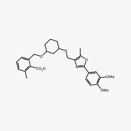 COc1ccc(-c2nc(COC3CCCC(OCc4cccc(C)c4C(=O)O)C3)c(C)o2)cc1OC